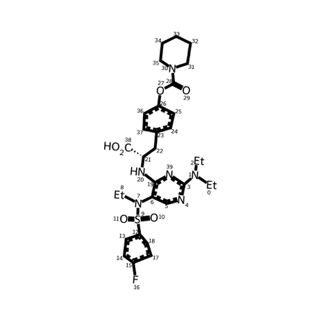 CCN(CC)c1ncc(N(CC)S(=O)(=O)c2ccc(F)cc2)c(N[C@@H](Cc2ccc(OC(=O)N3CCCCC3)cc2)C(=O)O)n1